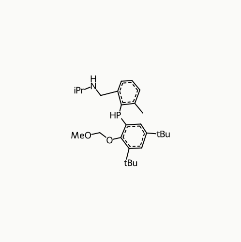 COCOc1c(Pc2c(C)cccc2CNC(C)C)cc(C(C)(C)C)cc1C(C)(C)C